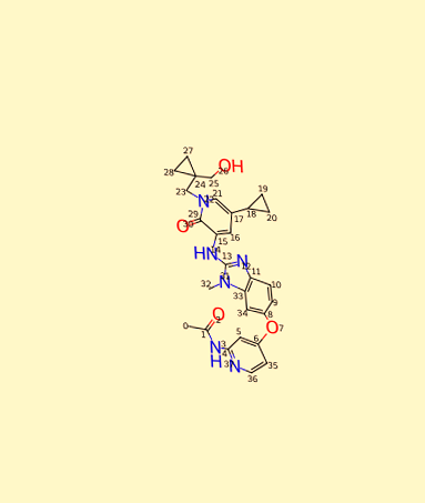 CC(=O)Nc1cc(Oc2ccc3nc(Nc4cc(C5CC5)cn(CC5(CO)CC5)c4=O)n(C)c3c2)ccn1